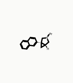 CC(C)N1C[C@@H]2C[C@@]2(c2ccc3ccccc3c2)C1